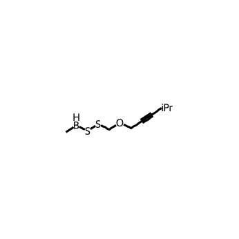 CBSSCOCC#CC(C)C